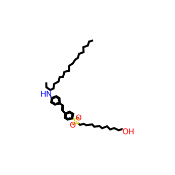 CCCCCCCCCCCCCCCCCC(CC)Nc1ccc(C=Cc2ccc(S(=O)(=O)CCCCCCCCCCCCO)cc2)cc1